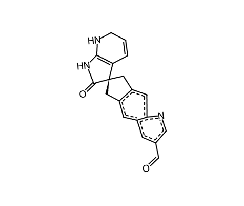 O=Cc1cnc2cc3c(cc2c1)C[C@@]1(C3)C(=O)NC2=C1C=CCN2